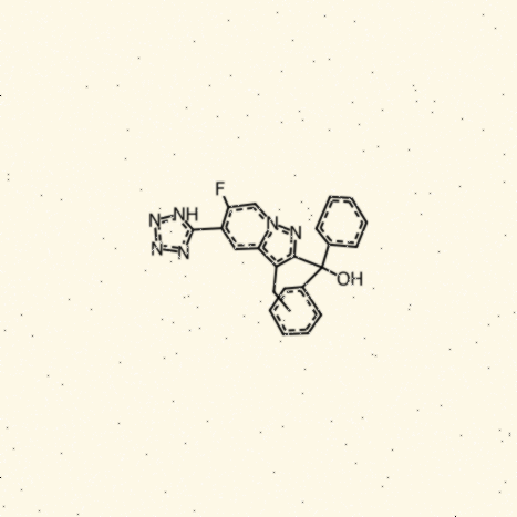 CCc1c(C(O)(c2ccccc2)c2ccccc2)nn2cc(F)c(-c3nnn[nH]3)cc12